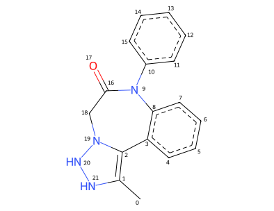 CC1=C2c3ccccc3N(c3ccccc3)C(=O)CN2NN1